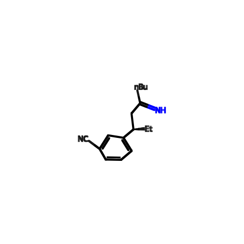 CCCCC(=N)C[C@@H](CC)c1cccc(C#N)c1